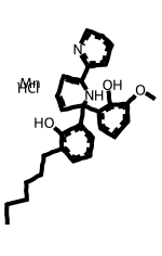 CCCCCCc1cccc(C2(c3cccc(OC)c3O)C=CC=C(c3ccccn3)N2)c1O.Cl.[Mn]